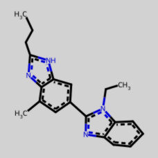 CCCc1nc2c(C)cc(-c3nc4ccccc4n3CC)cc2[nH]1